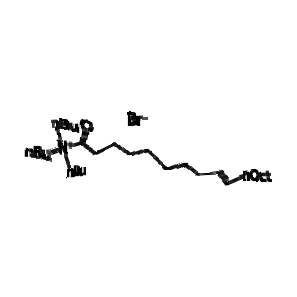 CCCCCCCCC=CCCCCCCCC(=O)[N+](CCCC)(CCCC)CCCC.[Br-]